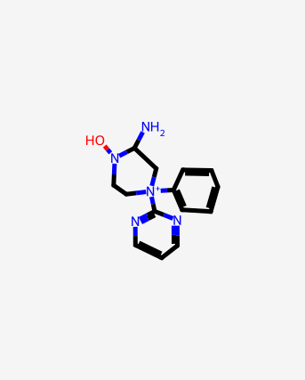 NC1C[N+](c2ccccc2)(c2ncccn2)CCN1O